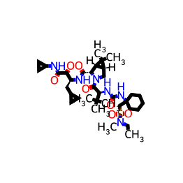 CCN(C)S(=O)(=O)CC1(NC(=O)N[C@H](C(=O)N2C[C@H]3[C@@H]([C@H]2C(=O)N[C@@H](CC2CC2)C(=O)C(=O)NC2CC2)C3(C)C)C(C)(C)C)CCCCC1